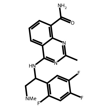 CNCC(Nc1nc(C)nc2c(C(N)=O)cccc12)c1cc(F)c(F)cc1F